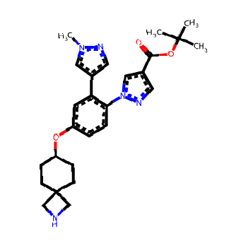 Cn1cc(-c2cc(OC3CCC4(CC3)CNC4)ccc2-n2cc(C(=O)OC(C)(C)C)cn2)cn1